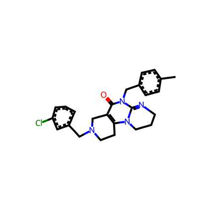 Cc1ccc(CN2C(=O)C3=C(CCN(Cc4cccc(Cl)c4)C3)N3CCCN=C23)cc1